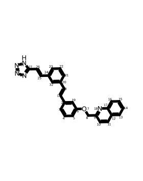 C(=Cc1cccc(OCc2ccc3ccccc3n2)c1)c1cccc(C=Cc2nnn[nH]2)c1